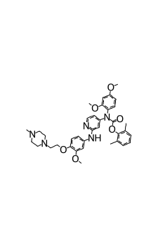 COc1ccc(N(C(=O)Oc2c(C)cccc2C)c2ccnc(Nc3ccc(OCCN4CCN(C)CC4)c(OC)c3)c2)c(OC)c1